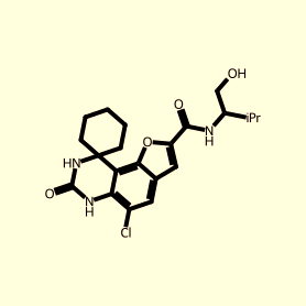 CC(C)C(CO)NC(=O)c1cc2cc(Cl)c3c(c2o1)C1(CCCCC1)NC(=O)N3